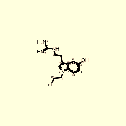 N=C(N)NCCc1cn(CCF)c2ccc(O)cc12